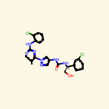 Cc1cnc(Nc2ccccc2Cl)nc1-n1cc(NC(=O)N[C@H](CO)c2cccc(Cl)c2)cn1